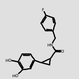 O=C(NCc1ccc(F)cc1)C1CC1c1ccc(O)c(O)c1